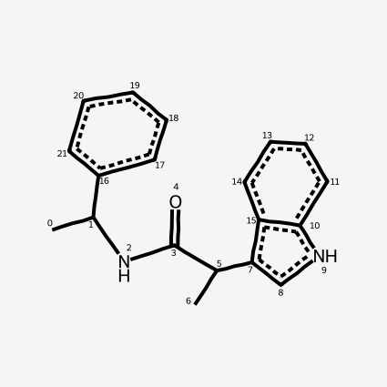 CC(NC(=O)C(C)c1c[nH]c2ccccc12)c1ccccc1